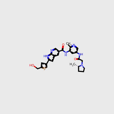 Cc1ncc(NC(=O)CN2CCC[C@@H]2C)cc1NC(=O)c1cnc2[nH]c(-c3csc(CO)c3)cc2c1